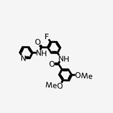 COc1cc(OC)cc(C(=O)Nc2ccc(F)c(C(=O)Nc3cccnc3)c2)c1